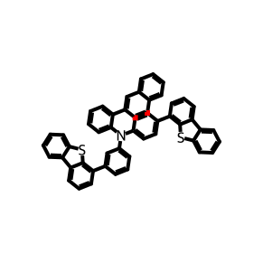 c1cc(-c2cccc3c2sc2ccccc23)cc(N(c2ccc(-c3cccc4c3sc3ccccc34)cc2)c2ccccc2-c2ccc3ccccc3c2)c1